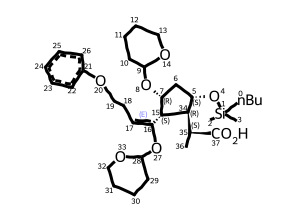 CCCC[Si](C)(C)O[C@H]1C[C@@H](OC2CCCCO2)[C@@H](/C(=C\CCOc2ccccc2)OC2CCCCO2)[C@@H]1[C@H](C)C(=O)O